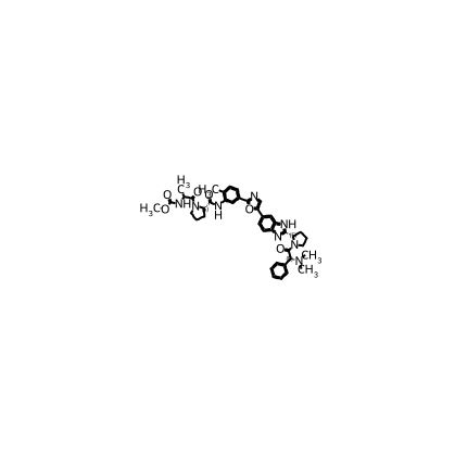 COC(=O)NC(C)C(=O)N1CCC[C@H]1C(=O)Nc1cc(-c2ncc(-c3ccc4nc([C@@H]5CCCN5C(=O)[C@@H](c5ccccc5)N(C)C)[nH]c4c3)o2)ccc1C